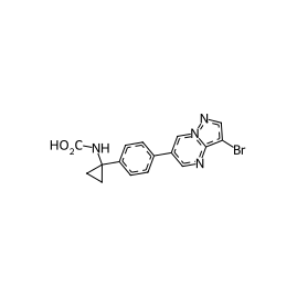 O=C(O)NC1(c2ccc(-c3cnc4c(Br)cnn4c3)cc2)CC1